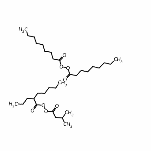 CCCCCC(CCC)C(=O)OOC(=O)CC(C)C.CCCCCCCCC(=O)OOC(=O)CCCCCCCC